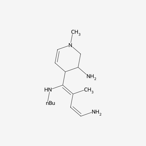 CCCCN/C(=C(C)\C=C/N)C1C=CN(C)CC1N